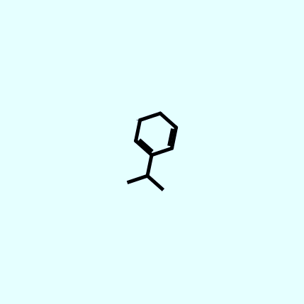 CC(C)C1=C[CH]CC=C1